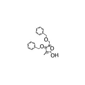 C[C@@H]1C(O)O[C@H](COCc2ccccc2)[C@H]1OCc1ccccc1